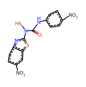 O=C(Nc1ccc([N+](=O)[O-])cc1)N(S)c1nc2ccc([N+](=O)[O-])cc2s1